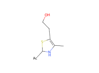 CC(=O)C1NC(C)=C(CCO)S1